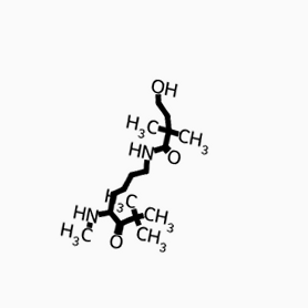 CNC(CCCCNC(=O)C(C)(C)CCO)C(=O)C(C)(C)C